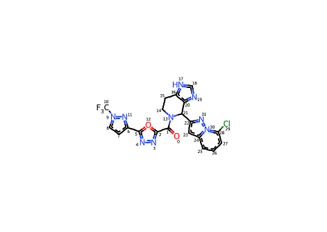 O=C(c1nnc(-c2ccn(C(F)(F)F)n2)o1)N1CCc2[nH]cnc2C1c1cc2cccc(Cl)n2n1